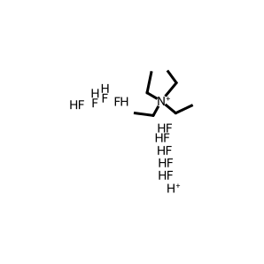 CC[N+](CC)(CC)CC.F.F.F.F.F.F.F.F.F.[H+]